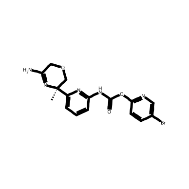 C[C@@]1(c2cccc(NC(=O)Oc3ccc(Br)cn3)n2)COCC(N)=N1